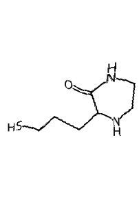 O=C1NCCNC1CCCS